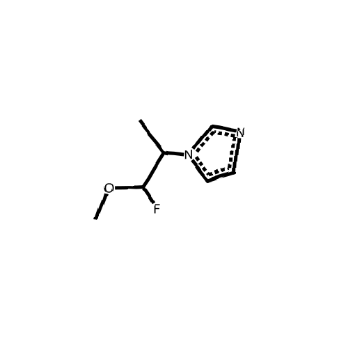 COC(F)C(C)n1ccnc1